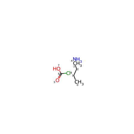 CCCC.N.O=C(O)Cl